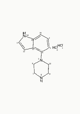 Cl.Cl.c1cc(N2CCNCC2)c2cc[nH]c2c1